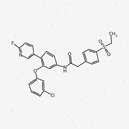 CCS(=O)(=O)c1ccc(CC(=O)Nc2ccc(-c3ccc(F)nc3)c(Oc3cccc(Cl)c3)c2)cc1